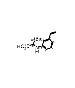 C=Cc1cccc(NC(C(=O)O)C(C)(C)C)c1